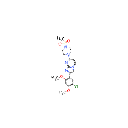 COc1cc(OC)c(-c2cn3ccc(N4CCN(S(C)(=O)=O)CC4)nc3n2)cc1Cl